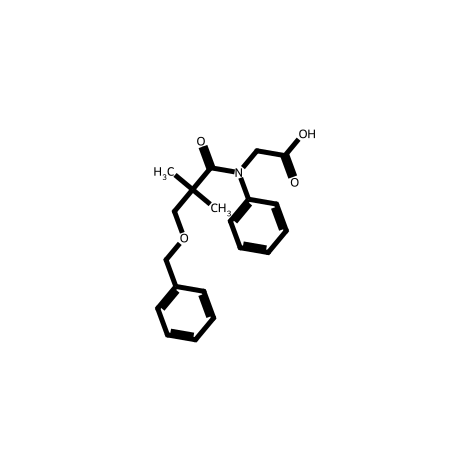 CC(C)(COCc1ccccc1)C(=O)N(CC(=O)O)c1ccccc1